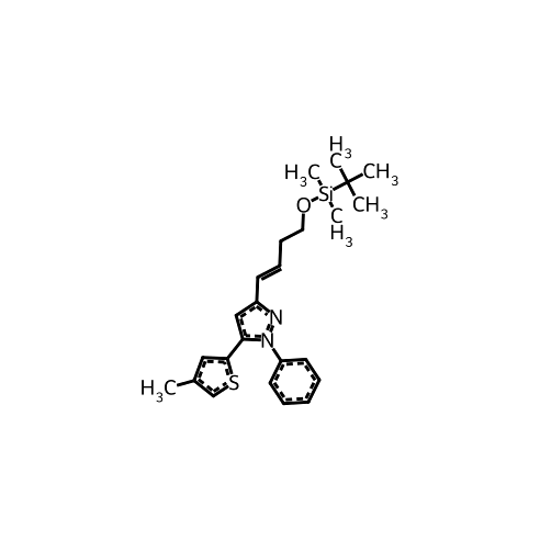 Cc1csc(-c2cc(C=CCCO[Si](C)(C)C(C)(C)C)nn2-c2ccccc2)c1